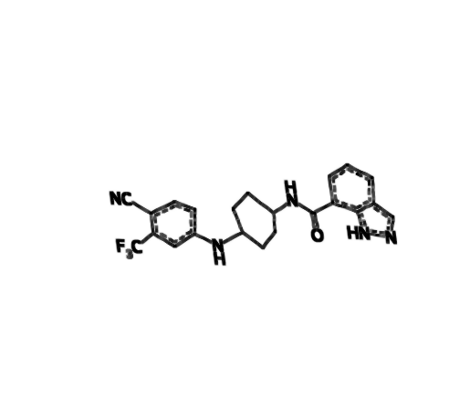 N#Cc1ccc(NC2CCC(NC(=O)c3cccc4cn[nH]c34)CC2)cc1C(F)(F)F